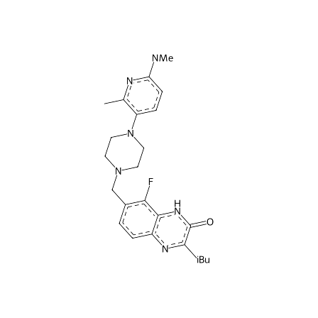 CCC(C)c1nc2ccc(CN3CCN(c4ccc(NC)nc4C)CC3)c(F)c2[nH]c1=O